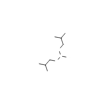 CC(C)COP([O-])OCC(C)C.[Li+]